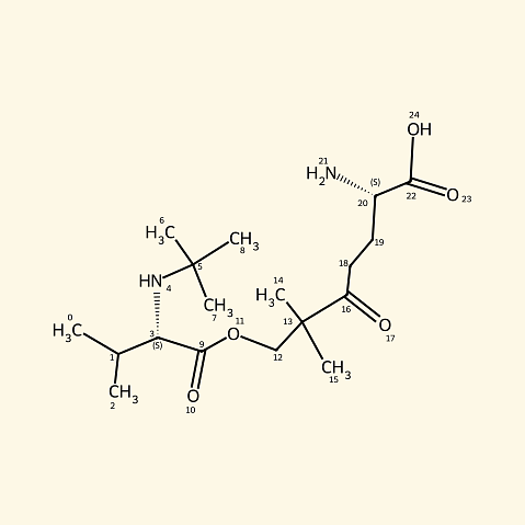 CC(C)[C@H](NC(C)(C)C)C(=O)OCC(C)(C)C(=O)CC[C@H](N)C(=O)O